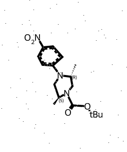 C[C@@H]1CN(C(=O)OC(C)(C)C)[C@@H](C)CN1c1ccc([N+](=O)[O-])cc1